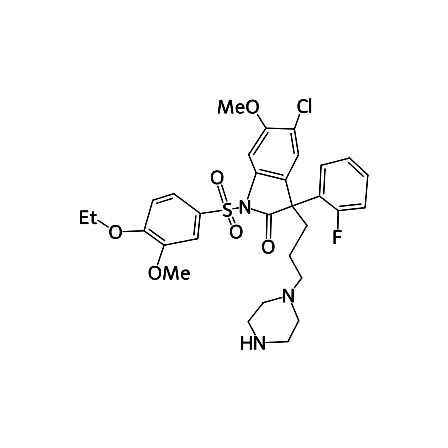 CCOc1ccc(S(=O)(=O)N2C(=O)C(CCCN3CCNCC3)(c3ccccc3F)c3cc(Cl)c(OC)cc32)cc1OC